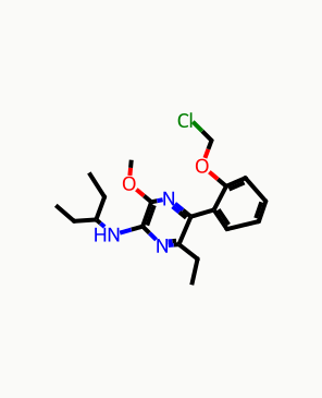 CCc1nc(NC(CC)CC)c(OC)nc1-c1ccccc1OCCl